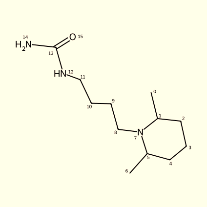 CC1CCCC(C)N1CCCCNC(N)=O